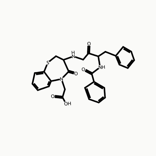 O=C(O)CN1C(=O)C(NCC(=O)C(Cc2ccccc2)NC(=O)c2ccccc2)CSc2ccccc21